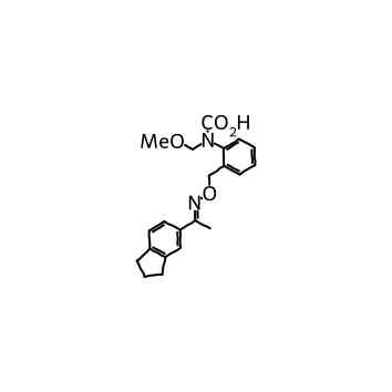 COCN(C(=O)O)c1ccccc1CON=C(C)c1ccc2c(c1)CCC2